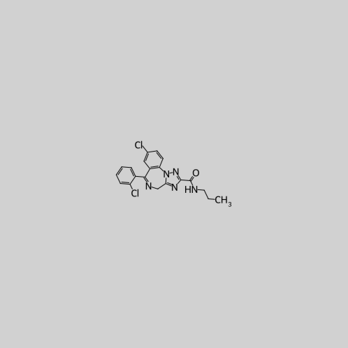 CCCNC(=O)c1nc2n(n1)-c1ccc(Cl)cc1C(c1ccccc1Cl)=NC2